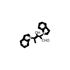 C/C(=C(/O)C(C=O)n1ccc2ccccc21)n1ccc2ccccc21